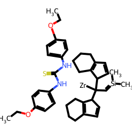 CCOc1ccc(NC(=S)Nc2ccc(OCC)cc2)cc1.C[Si](C)=C[C]([Zr])(C1C=CC2=C1CCCC2)C1C=CC2=C1CCCC2